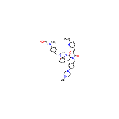 COc1ccc(/C=C/C(=O)N(Cc2ccc(N3CCN(C(C)=O)CC3)cc2)[C@@H](Cc2ccccc2)C(=O)N2CCN(Cc3ccc(N(C)CCO)cc3)CC2)cn1